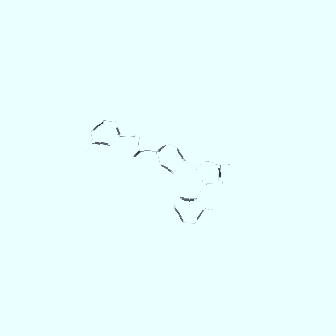 Cc1ccnc(NC(=O)c2ccc(C3CC(C(F)(F)F)=NN3c3ccccc3Cl)cc2)c1